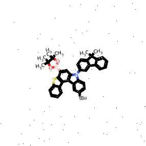 CC(C)(C)c1ccc2c(c1)c1c3c(sc4ccccc43)c(B3OC(C)(C)C(C)(C)O3)cc1n2-c1ccc2c(c1)-c1ccccc1C2(C)C